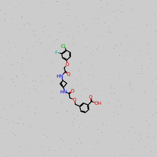 O=C(COCc1cccc(C(=O)O)c1)NC12CC(NC(=O)COc3ccc(Cl)c(F)c3)(C1)C2